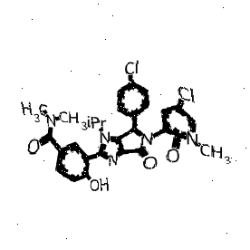 CC(C)n1c(-c2cc(C(=O)N(C)C)ccc2O)nc2c1C(c1ccc(Cl)cc1)N(c1cc(Cl)cn(C)c1=O)C2=O